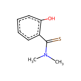 CN(C)C(=S)c1ccccc1O